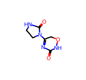 O=C1N=C(N2CCNC2=O)CON1